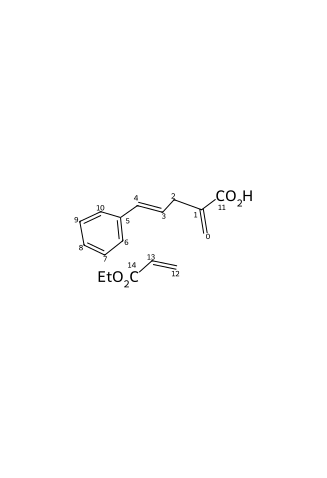 C=C(CC=Cc1ccccc1)C(=O)O.C=CC(=O)OCC